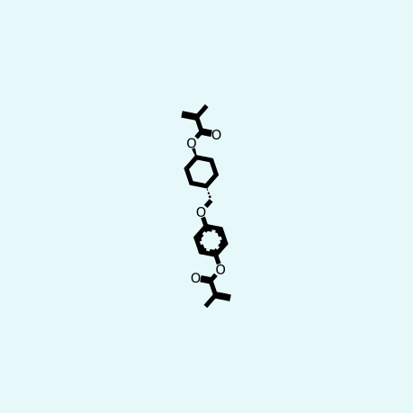 C=C(C)C(=O)Oc1ccc(OC[C@H]2CC[C@H](OC(=O)C(=C)C)CC2)cc1